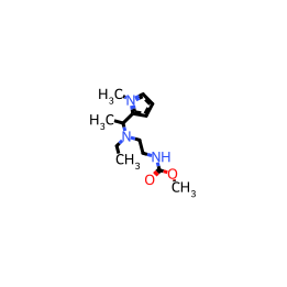 CCN(CCNC(=O)OC)C(C)c1cccn1C